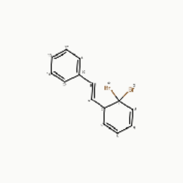 BrC1(Br)C=CC=CC1C=Cc1ccccc1